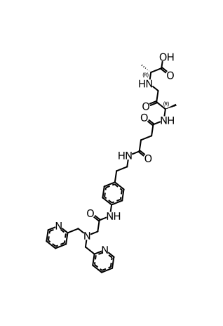 C[C@@H](NCC(=O)[C@@H](C)NC(=O)CCC(=O)NCCc1ccc(NC(=O)CN(Cc2ccccn2)Cc2ccccn2)cc1)C(=O)O